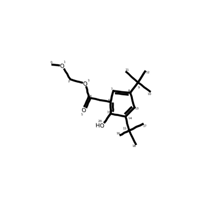 COCOC(=O)c1cc(C(C)(C)C)cc(C(C)(C)C)c1O